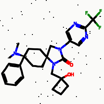 CN(C)[C@]1(c2ccccc2)CC[C@@]2(CC1)CN(c1cnc(C(F)(F)F)nc1)C(=O)N2CC1(O)CCC1